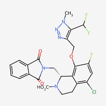 Cn1nnc(COc2c(F)cc(Cl)c3c2[C@@H](CN2C(=O)c4ccccc4C2=O)N(C(=O)O)CC3)c1C(F)F